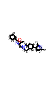 Cc1ccc(-c2ccc3c(c2)CCN(Cc2nc(-c4ccccc4)oc2C)C3)c(C)n1